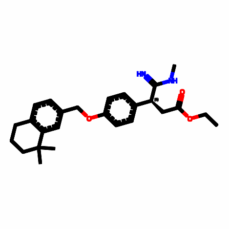 CCOC(=O)C[C@H](C(=N)NC)c1ccc(OCc2ccc3c(c2)C(C)(C)CCC3)cc1